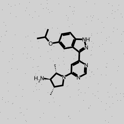 CC(C)Oc1ccc2[nH]nc(-c3cc(N4C[C@H](C)[C@@H](N)[C@@H]4C)ncn3)c2c1